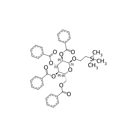 C[Si](C)(C)CCO[C@H]1O[C@H](COC(=O)c2ccccc2)[C@@H](OC(=O)c2ccccc2)[C@H](OC(=O)c2ccccc2)[C@H]1OC(=O)c1ccccc1